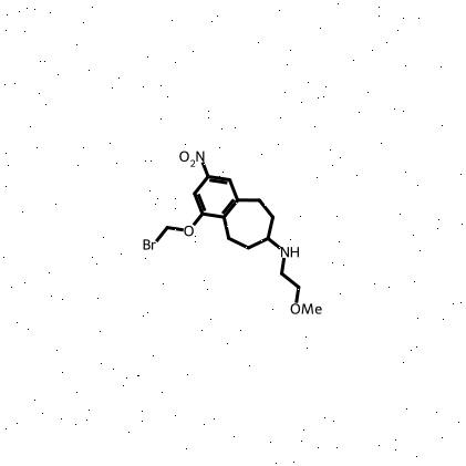 COCCNC1CCc2cc([N+](=O)[O-])cc(OCBr)c2CC1